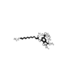 CCCCCCCCCCCC(=O)Oc1cc(C(C)(C)C)cc(C(C)(C)C)c1O